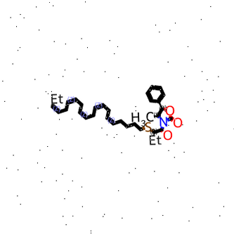 CC/C=C\C/C=C\C/C=C\C/C=C\C/C=C\CCCCS[C@H](CC)C(=O)N1C(=O)O[C@H](c2ccccc2)[C@@H]1C